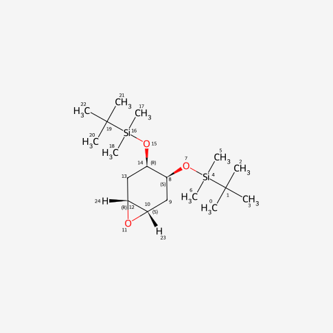 CC(C)(C)[Si](C)(C)O[C@H]1C[C@@H]2O[C@@H]2C[C@H]1O[Si](C)(C)C(C)(C)C